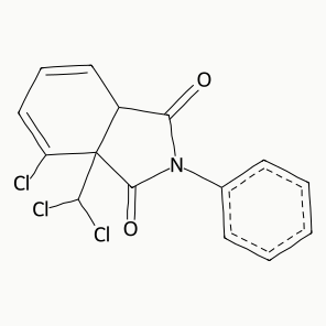 O=C1C2C=CC=C(Cl)C2(C(Cl)Cl)C(=O)N1c1ccccc1